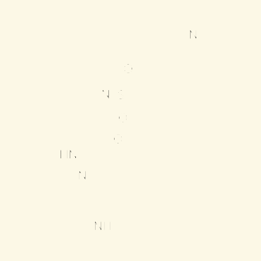 O=C(NN1CCNCC1)[C@@H]1CCCN1S(=O)(=O)c1cccc2cnccc12